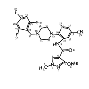 COc1nn(C)cc1C(=O)Nc1cc(C#N)cnc1N1CCN(Cc2c(F)cc(F)cc2F)CC1